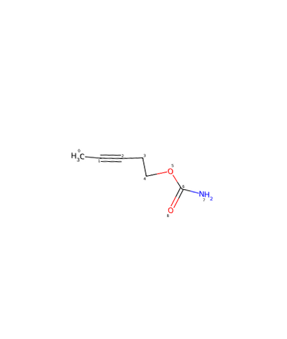 CC#CCCOC(N)=O